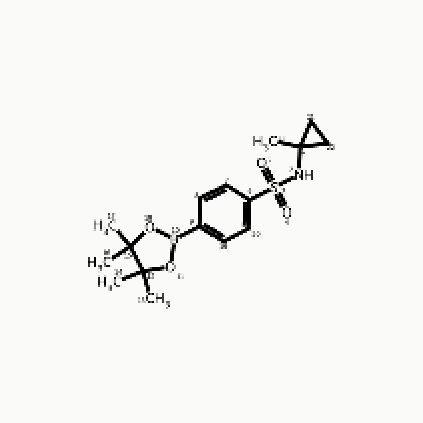 CC1(NS(=O)(=O)c2ccc(B3OC(C)(C)C(C)(C)O3)cc2)CC1